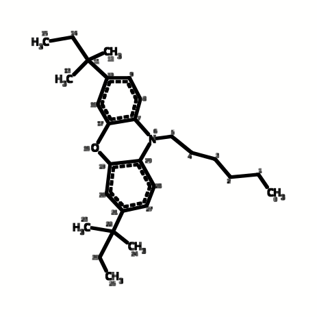 CCCCCCN1c2ccc(C(C)(C)CC)cc2Oc2cc(C(C)(C)CC)ccc21